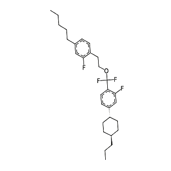 CCCCCc1ccc(CCOC(F)(F)c2ccc([C@H]3CC[C@H](CCC)CC3)cc2F)c(F)c1